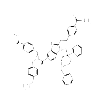 COC(=O)c1ccc(CN(Cc2ccc(CN)cc2)C(=O)c2ccc3c(c2)nc(CCc2ccc(C(=N)N)cc2)n3CC2(c3ccccc3)CCN(Cc3ccccc3)CC2)cc1